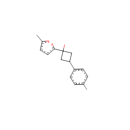 Cc1ccc(C2(O)CC(c3ccc(C(F)(F)F)cc3)C2)o1